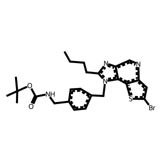 CCCCc1nc2cnc3cc(Br)sc3c2n1Cc1ccc(CNC(=O)OC(C)(C)C)cc1